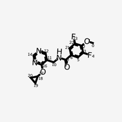 COc1c(F)cc(C(=O)NCc2cncnc2OC2CC2)cc1F